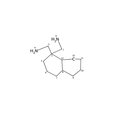 NCC1(CN)CCCC2CCCCC21